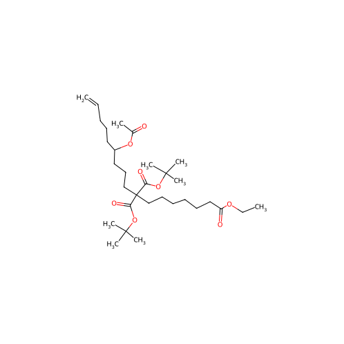 C=CCCCC(CCCC(CCCCCCC(=O)OCC)(C(=O)OC(C)(C)C)C(=O)OC(C)(C)C)OC(C)=O